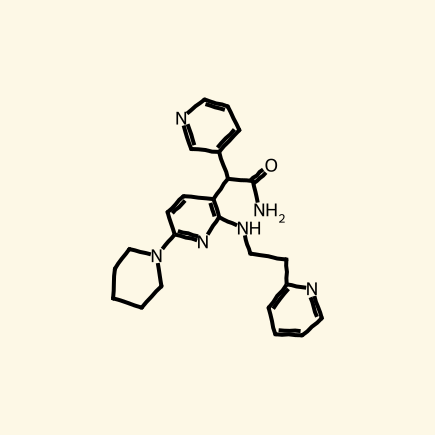 NC(=O)C(c1cccnc1)c1ccc(N2CCCCC2)nc1NCCc1ccccn1